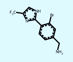 NCc1ccc(-c2nc(C(F)(F)F)c[nH]2)c(Br)c1